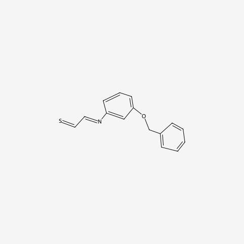 S=CC=Nc1cccc(OCc2ccccc2)c1